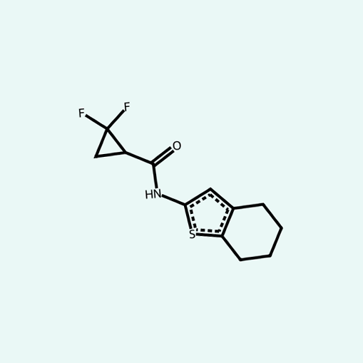 O=C(Nc1cc2c(s1)CCCC2)C1CC1(F)F